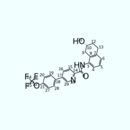 O=C(Nc1cccc2c1C[C@H](O)CC2)c1ccc(-c2ccc(OC(F)(F)F)cc2)cn1